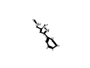 CNCc1cc(-c2ccccc2)nn1C